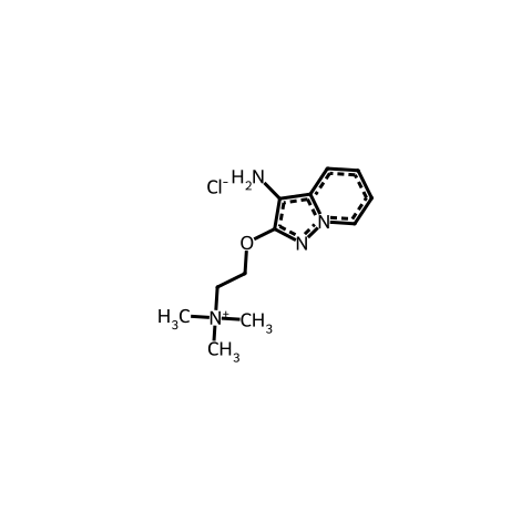 C[N+](C)(C)CCOc1nn2ccccc2c1N.[Cl-]